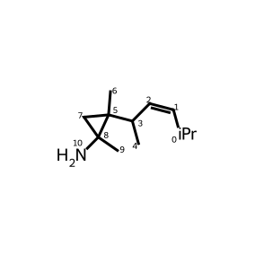 CC(C)/C=C\C(C)C1(C)CC1(C)N